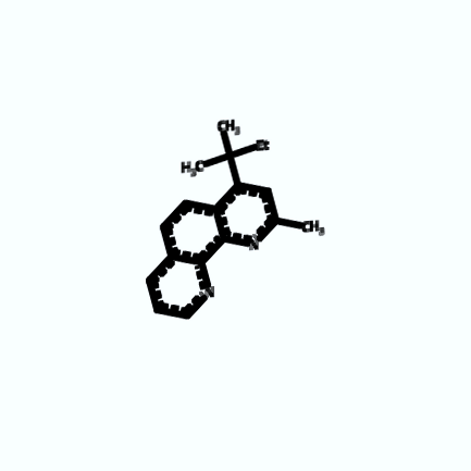 CCC(C)(C)c1cc(C)nc2c1ccc1cccnc12